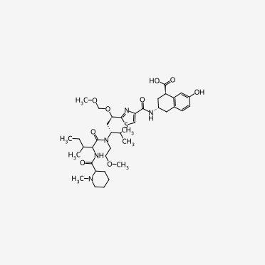 CCC(C)C(NC(=O)C1CCCCN1C)C(=O)N(CCOC)[C@H](C[C@@H](OCOC)c1nc(C(=O)N[C@H]2Cc3ccc(O)cc3[C@H](C(=O)O)C2)cs1)C(C)C